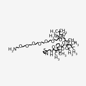 CC[C@H](C)[C@@H]([C@@H](CC(=O)N1CCC[C@H]1[C@H](OC)[C@@H](C)C(=O)NCc1nccs1)OC)N(C)C(=O)CNC(=O)C(C(C)C)N(C)C(=O)CCOCCOCCOCCOCCOCCOCCN